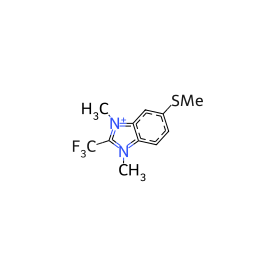 CSc1ccc2c(c1)[n+](C)c(C(F)(F)F)n2C